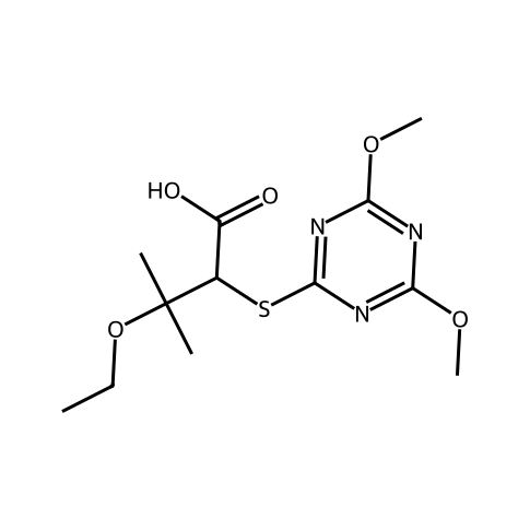 CCOC(C)(C)C(Sc1nc(OC)nc(OC)n1)C(=O)O